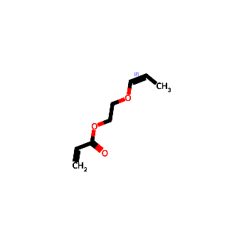 C=CC(=O)OCCO/C=C\C